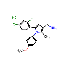 COc1ccc(-n2c(-c3ccc(Cl)cc3Cl)cc(CN)c2C)cc1.Cl